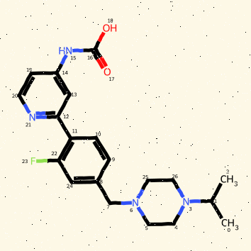 CC(C)N1CCN(Cc2ccc(-c3cc(NC(=O)O)ccn3)c(F)c2)CC1